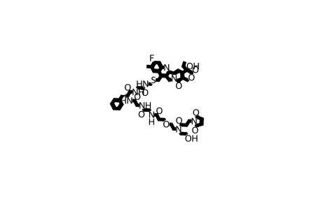 CC[C@@]1(O)C(=O)OCc2c1cc1n(c2=O)Cc2c-1nc1cc(F)c(C)cc1c2CSCNC(=O)CNC(=O)[C@H](Cc1ccccc1)NC(=O)CNC(=O)CNC(=O)CCOCCN(CCO)C(=O)CCN1C(=O)C=CC1=O